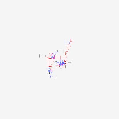 C/C=C/C1=CN2C(=O)c3cc(OC)c(OCCCOc4cc5c(cc4OC)C(=O)N4C=C(/C=C/C)C[C@H]4C=N5)cc3N(COCc3ccc(NC(=O)[C@H](C)NC(=O)[C@@H](NC(=O)CCOCCOCCOCCOCCNC(=O)CI)C(C)C)cc3)[C@@H](O)C2C1